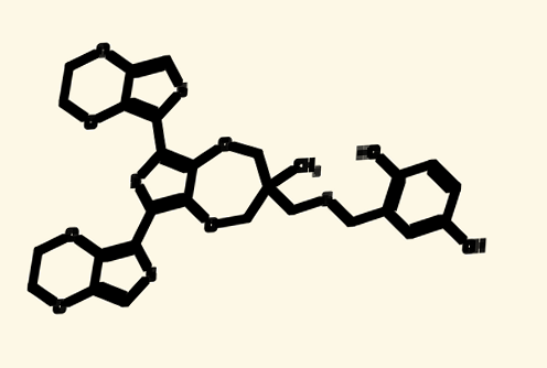 CC1(CSCc2cc(O)ccc2O)COc2c(-c3scc4c3OCCO4)sc(-c3scc4c3OCCO4)c2OC1